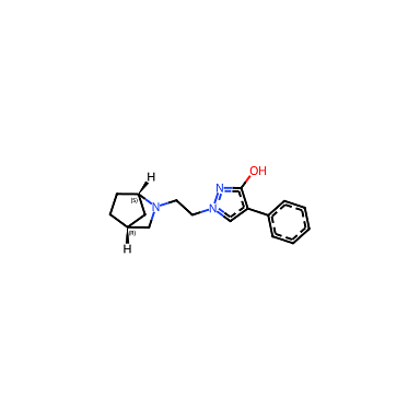 Oc1nn(CCN2C[C@@H]3CC[C@H]2C3)cc1-c1ccccc1